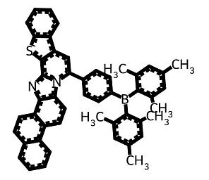 Cc1cc(C)c(B(c2ccc(-c3cc4c5ccccc5sc4c4nc5c6ccc7ccccc7c6ccc5n34)cc2)c2c(C)cc(C)cc2C)c(C)c1